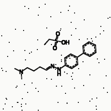 CCS(=O)(=O)O.CN(C)CCCC=NNc1ccc(-c2ccccc2)cc1